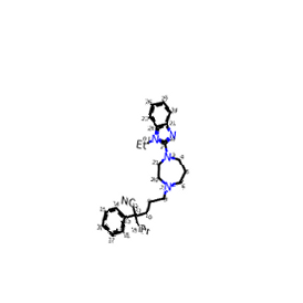 CCn1c(N2CCCN(CCCC(C#N)(c3ccccc3)C(C)C)CC2)nc2ccccc21